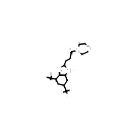 O=C(CCC1NC2CC(C(F)(F)F)CC(C(F)(F)F)C2N1)N1CCNCC1